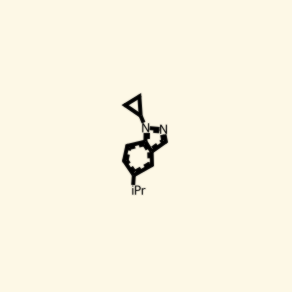 CC(C)c1ccc2c(cnn2C2CC2)c1